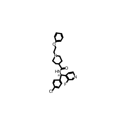 O=C(N[C@H](c1ccc(Cl)cc1)c1ccncc1F)C1CCN(CCOc2ccccc2)CC1